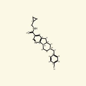 O=C(NCC1CC1)c1cnc2c(c1)CC1CN(Cc3ccc(F)cc3)CCN21